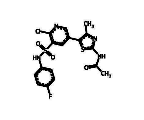 CC(=O)Nc1nc(C)c(-c2cnc(Cl)c(S(=O)(=O)Nc3ccc(F)cc3)c2)s1